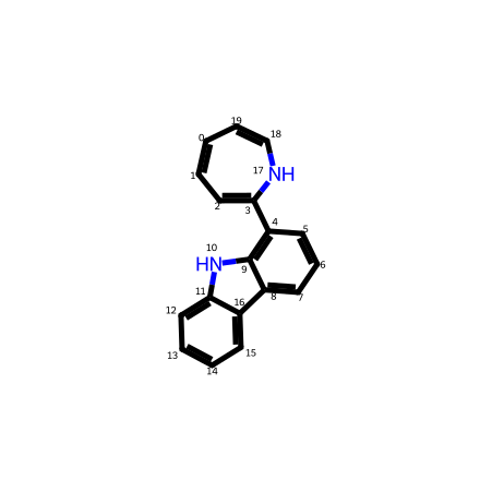 C1=CC=C(c2cccc3c2[nH]c2ccccc23)NC=C1